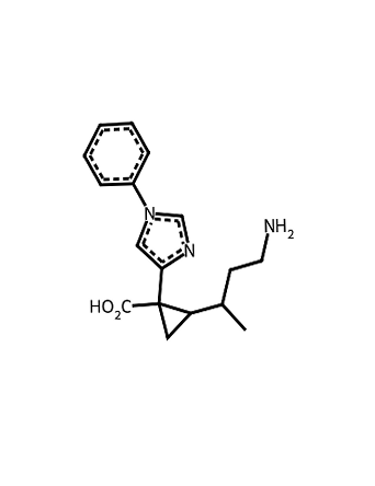 CC(CCN)C1CC1(C(=O)O)c1cn(-c2ccccc2)cn1